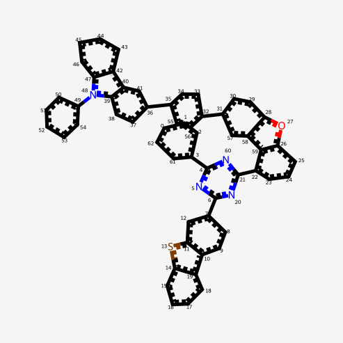 c1ccc(-c2nc(-c3ccc4c(c3)sc3ccccc34)nc(-c3cccc4oc5ccc(-c6ccc(-c7ccc8c(c7)c7ccccc7n8-c7ccccc7)cc6)cc5c34)n2)cc1